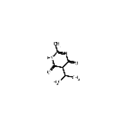 CC1=NC(=O)C(C(C)C)C(=O)N1